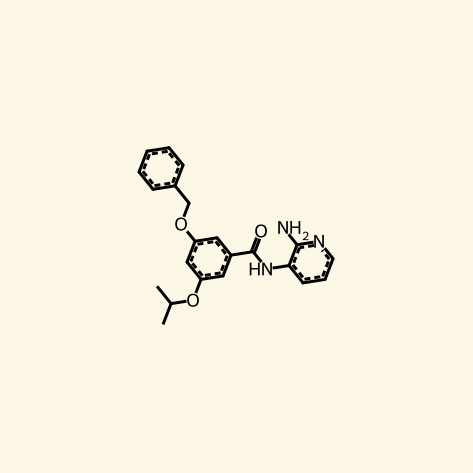 CC(C)Oc1cc(OCc2ccccc2)cc(C(=O)Nc2cccnc2N)c1